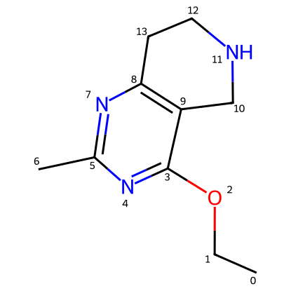 CCOc1nc(C)nc2c1CNCC2